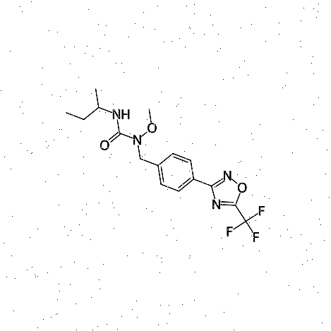 CCC(C)NC(=O)N(Cc1ccc(-c2noc(C(F)(F)F)n2)cc1)OC